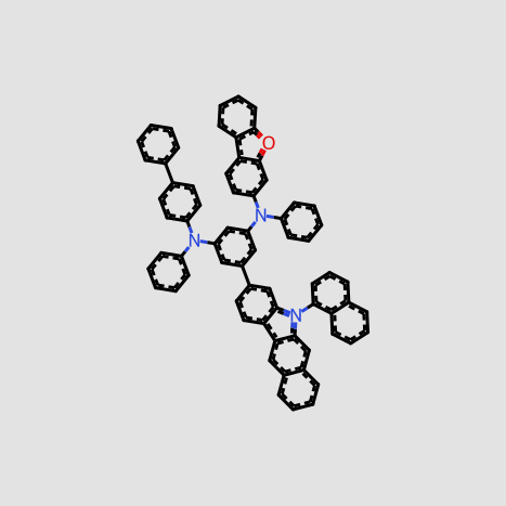 c1ccc(-c2ccc(N(c3ccccc3)c3cc(-c4ccc5c6cc7ccccc7cc6n(-c6cccc7ccccc67)c5c4)cc(N(c4ccccc4)c4ccc5c(c4)oc4ccccc45)c3)cc2)cc1